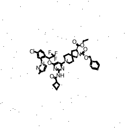 CCOC(=O)[C@@H]1CC2(CCN(c3cc(O[C@H](c4ccc(Cl)cc4-n4ccc(C)n4)C(F)(F)F)nc(NC(=O)C4CCC4)n3)CC2)CN1C(=O)OCc1ccccc1